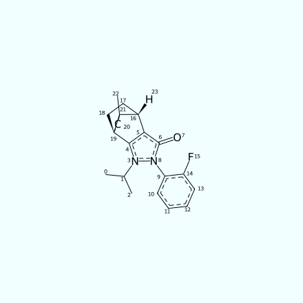 CC(C)n1c2c(c(=O)n1-c1ccccc1F)[C@H]1CC[C@@]23CC13C